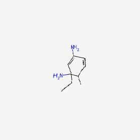 CCC1(N)C=C(N)C=CC1C